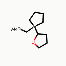 COC[Si]1(C2CCCO2)CCCC1